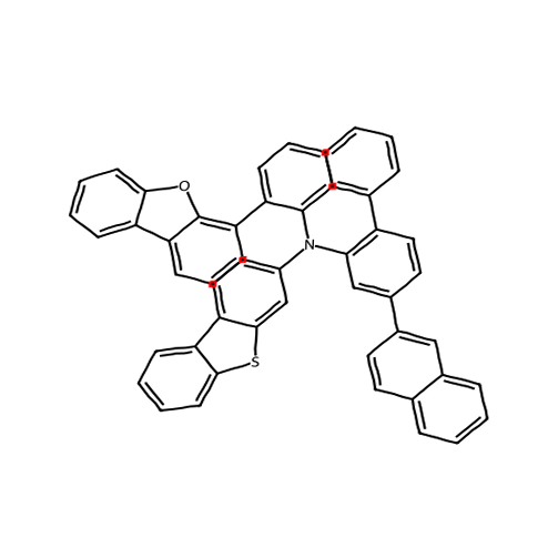 c1ccc(-c2ccc(-c3ccc4ccccc4c3)cc2N(c2ccc3c(c2)sc2ccccc23)c2ccccc2-c2cccc3c2oc2ccccc23)cc1